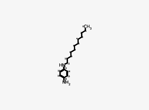 CCCCCCCCCCCCNc1ccc(N)cc1